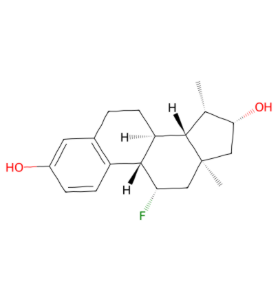 C[C@H]1[C@H]2[C@@H]3CCc4cc(O)ccc4[C@H]3[C@@H](F)C[C@]2(C)C[C@H]1O